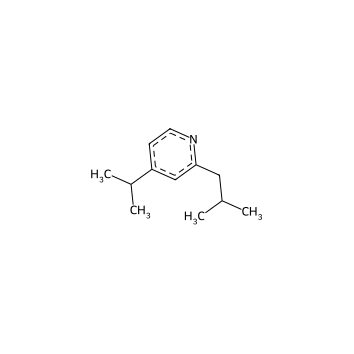 CC(C)Cc1cc(C(C)C)ccn1